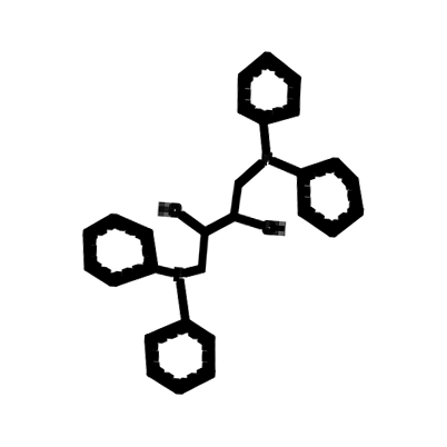 OC(CP(c1ccccc1)c1ccccc1)C(O)CP(c1ccccc1)c1ccccc1